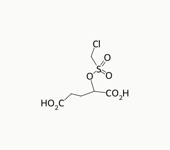 O=C(O)CCC(OS(=O)(=O)CCl)C(=O)O